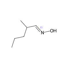 CCCC(C)/C=N/O